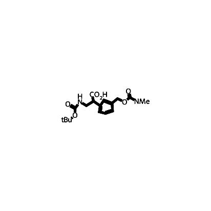 CNC(=O)OCc1cccc(C(CNC(=O)OC(C)(C)C)C(=O)O)c1